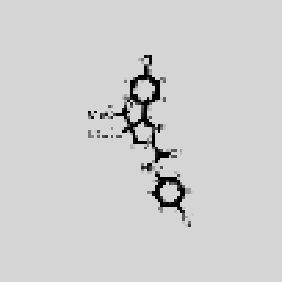 CCOC(=O)C1(C(=O)OC)CN(C(=O)Nc2ccc(Br)cc2)N=C1c1ccc(Cl)cc1